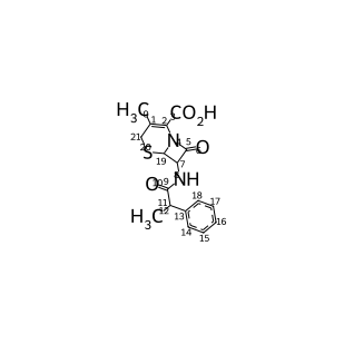 CC1=C(C(=O)O)N2C(=O)C(NC(=O)C(C)c3ccccc3)C2SC1